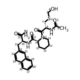 CC(=O)N[C@@H](CSCO)C(=O)N1CCCC[C@H]1C(=O)N[C@@H](Cc1ccc2ccccc2c1)C(N)=O